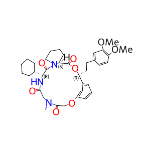 COc1ccc(CC[C@H]2OC(=O)[C@@H]3CCCCN3C(=O)[C@@H](C3CCCCC3)NC(=O)CN(C)C(=O)COc3cccc2c3)cc1OC